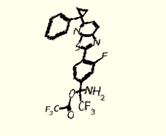 NC(OC(=O)C(F)(F)F)(c1ccc(-c2nc3ccc(C4(c5ccccc5)CC4)nc3s2)c(F)c1)C(F)(F)F